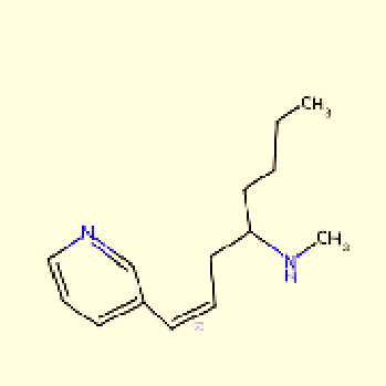 CCCCC(C/C=C\c1cccnc1)NC